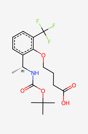 C[C@@H](NC(=O)OC(C)(C)C)c1cccc(C(F)(F)F)c1OCCCC(=O)O